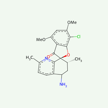 COc1cc(OC)c2c(c1Cl)O[C@]1(C2=O)c2nc(C)ccc2C(N)C[C@H]1C